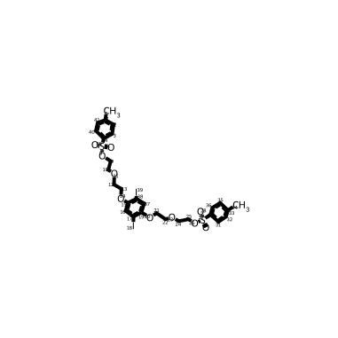 Cc1ccc(S(=O)(=O)OCCOCCOc2cc(I)c(OCCOCCOS(=O)(=O)c3ccc(C)cc3)cc2I)cc1